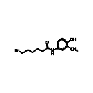 Cc1cc(NC(=O)CCCCCBr)ccc1O